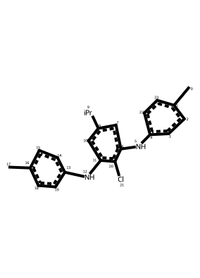 Cc1ccc(Nc2cc(C(C)C)cc(Nc3ccc(C)cc3)c2Cl)cc1